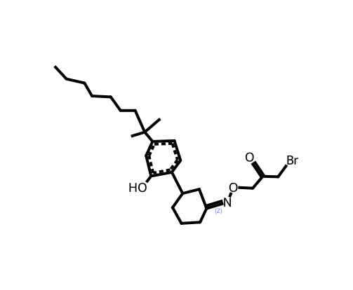 CCCCCCCC(C)(C)c1ccc(C2CCC/C(=N/OCC(=O)CBr)C2)c(O)c1